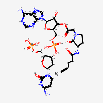 C=CCCC(=O)N[C@H]1CCN(CC(=O)OC2[C@@H](COP(=O)(O)O[C@@H]3C[C@H](n4ccc(N)nc4=O)O[C@@H]3COP(=O)(O)O)O[C@@H](n3cnc4c(N)ncnc43)[C@H]2O)C1=O